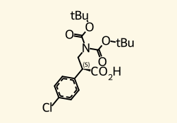 CC(C)(C)OC(=O)N(C[C@@H](C(=O)O)c1ccc(Cl)cc1)C(=O)OC(C)(C)C